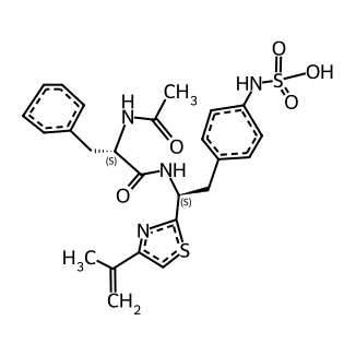 C=C(C)c1csc([C@H](Cc2ccc(NS(=O)(=O)O)cc2)NC(=O)[C@H](Cc2ccccc2)NC(C)=O)n1